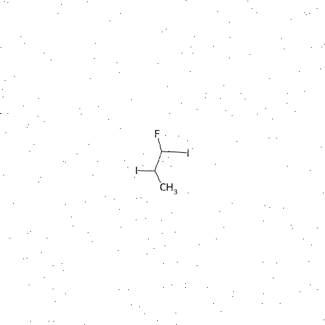 CC(I)C(F)I